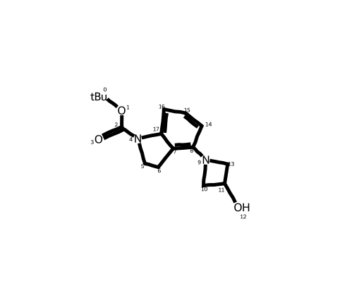 CC(C)(C)OC(=O)N1CCc2c(N3CC(O)C3)cccc21